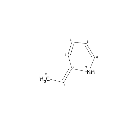 CC=C1C=CC=CN1